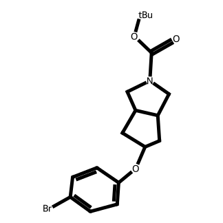 CC(C)(C)OC(=O)N1CC2CC(Oc3ccc(Br)cc3)CC2C1